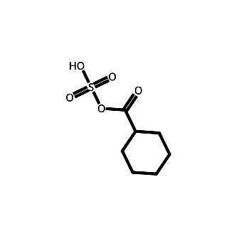 O=C(OS(=O)(=O)O)C1CCCCC1